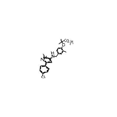 Cc1cc(CNc2cc(-c3ccc(Cl)cc3)nn2C)ccc1OC(C)(C)C(=O)O